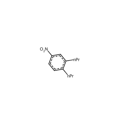 CCCc1ccc([N+](=O)[O-])cc1CCC